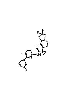 Cc1cccc(-c2nc(NC(=O)C3(c4ccc5c(c4)OC(F)(F)O5)CC3)ccc2C)c1